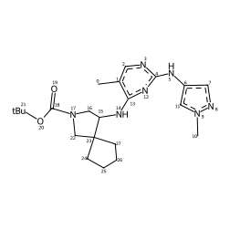 Cc1cnc(Nc2cnn(C)c2)nc1NC1CN(C(=O)OC(C)(C)C)CC12CCCC2